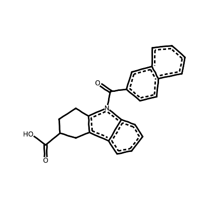 O=C(O)C1CCc2c(c3ccccc3n2C(=O)c2ccc3ccccc3c2)C1